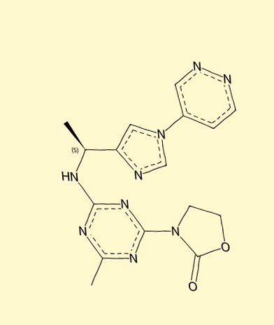 Cc1nc(N[C@@H](C)c2cn(-c3ccnnc3)cn2)nc(N2CCOC2=O)n1